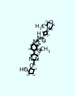 COc1c(-c2cnc(CO[C@H]3CCC[C@@H]3O)nc2)ccc2nc(NC(=O)[C@H]3C[C@@H](N4CCOC[C@@H]4C)C3)sc12